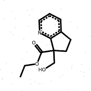 CCOC(=O)C1(CO)CCc2cccnc21